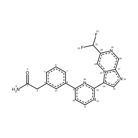 NC(=O)Cc1cccc(-c2ccnc(-c3cnc4cnc(C(F)F)cn34)n2)c1